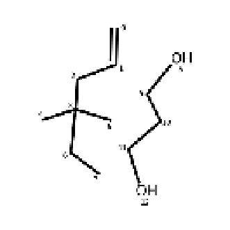 C=CCC(C)(C)CC.OCCCO